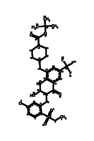 CCS(=O)(=O)c1ccc(Cl)cc1CN1C(=O)c2cc(C(F)(F)F)cc(CN3CCN(C(=O)OC(C)(C)C)CC3)c2NC1O